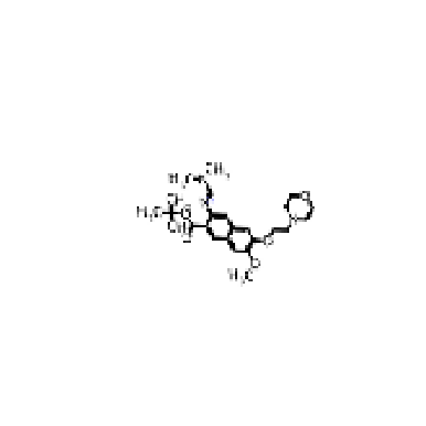 COc1cc2cc(C(=O)OC(C)(C)C)c(/N=C/N(C)C)cc2cc1OCCN1CCOCC1